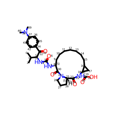 CC(C)[C@H](NC(=O)N[C@H]1CCCCCCCC2C[C@@]2(C(=O)O)NC(=O)[C@@H]2CCCN2C1=O)C(=O)c1ccc(N(C)C)cc1